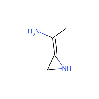 C/C(N)=C1/CN1